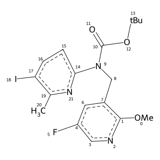 COc1ncc(F)cc1CN(C(=O)OC(C)(C)C)c1ccc(I)c(C)n1